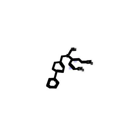 C=C/C=C(\C=C/C)N(CC1=CC=C(c2ccccc2)CC1)C(C)CC